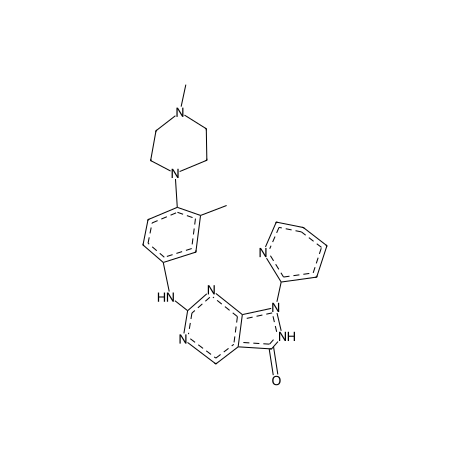 Cc1cc(Nc2ncc3c(=O)[nH]n(-c4ccccn4)c3n2)ccc1N1CCN(C)CC1